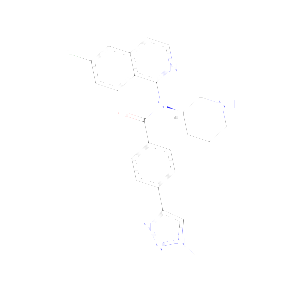 Cn1cc(-c2ccc(C(=O)N(c3nccc4cc(Cl)ccc34)[C@@H]3CCCNC3)cc2)nn1